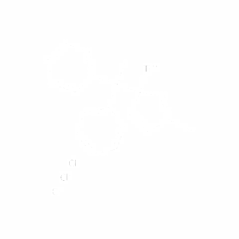 CC1=C[C]([Ti+3])(C(C)(c2ccccc2)c2ccccc2)C=C1.[Cl-].[Cl-].[Cl-]